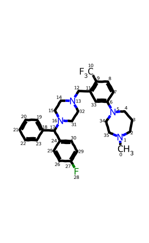 CN1CCCN(c2ccc(C(F)(F)F)c(CN3CCN(C(c4ccccc4)c4ccc(F)cc4)CC3)c2)CC1